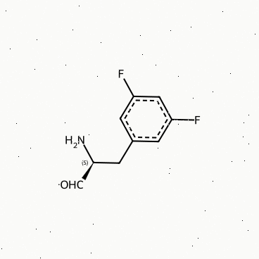 N[C@H]([C]=O)Cc1cc(F)cc(F)c1